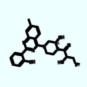 Cc1ccc2c(N3CCN(C(=O)C(O)CC(C)C)[C@H](O)C3)nc(-c3ccccc3O)nc2c1